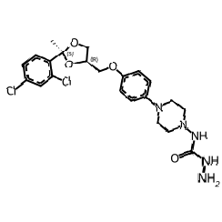 C[C@]1(c2ccc(Cl)cc2Cl)OC[C@@H](COc2ccc(N3CCN(NC(=O)NN)CC3)cc2)O1